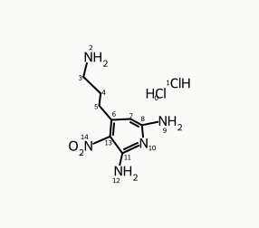 Cl.Cl.NCCCc1cc(N)nc(N)c1[N+](=O)[O-]